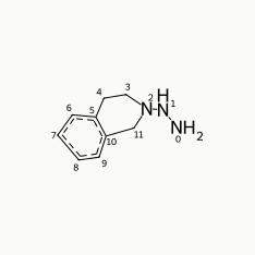 NNN1CCc2ccccc2C1